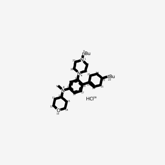 CCCCN1CCN(c2cc(N(C)C3CCOCC3)ccc2C2=CCC(C(C)(C)C)CC2)CC1.Cl